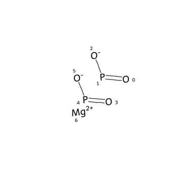 O=P[O-].O=P[O-].[Mg+2]